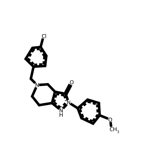 COc1ccc(-n2[nH]c3c(c2=O)CN(Cc2ccc(Cl)cc2)CC3)cc1